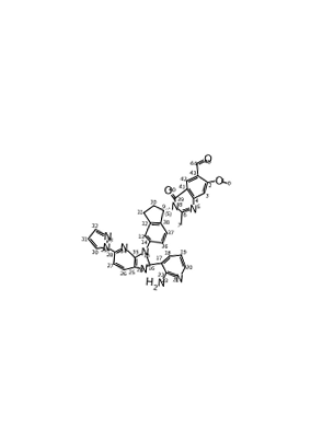 COc1cc2nc(C)n([C@H]3CCc4cc(-n5c(-c6cccnc6N)nc6ccc(-n7cccn7)nc65)ccc43)c(=O)c2cc1C=O